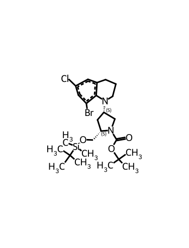 CC(C)(C)OC(=O)N1C[C@@H](N2CCCc3cc(Cl)cc(Br)c32)C[C@H]1CO[Si](C)(C)C(C)(C)C